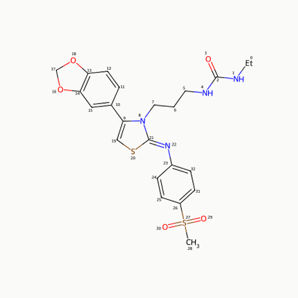 CCNC(=O)NCCCn1c(-c2ccc3c(c2)OCO3)cs/c1=N\c1ccc(S(C)(=O)=O)cc1